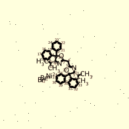 CC(C)[C@H]1N=C(CC2=N[C@H](C(C)C)C(c3ccccc3)(c3ccccc3)O2)OC1(c1ccccc1)c1ccccc1.[Br-].[Br-].[Ni+2]